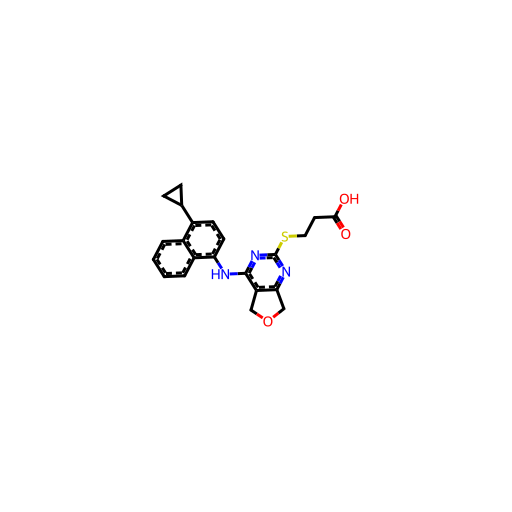 O=C(O)CCSc1nc2c(c(Nc3ccc(C4CC4)c4ccccc34)n1)COC2